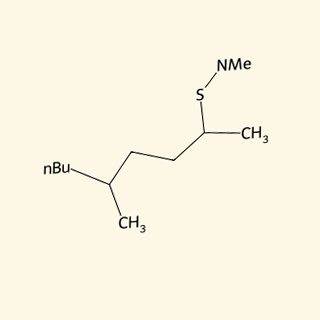 CCCCC(C)CCC(C)SNC